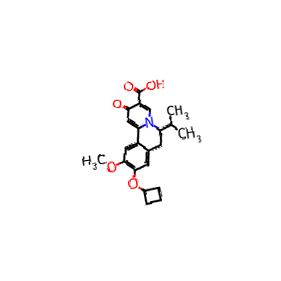 COc1cc2c(cc1OC1CCC1)CC(C(C)C)n1cc(C(=O)O)c(=O)cc1-2